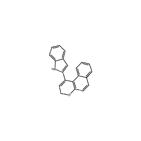 C1=C(c2cc3ccccc3[nH]2)c2c(ccc3ccccc23)OC1